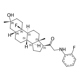 C[C@@]1(O)CC[C@@]2(F)[C@H](CC[C@H]3[C@@H]4CC[C@H](C(=O)CNc5ccccc5F)[C@@]4(C)CC[C@@H]32)C1